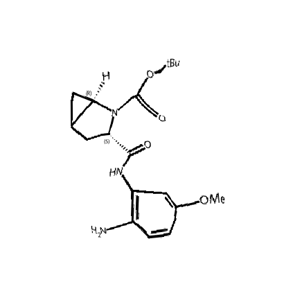 COc1ccc(N)c(NC(=O)[C@@H]2CC3C[C@H]3N2C(=O)OC(C)(C)C)c1